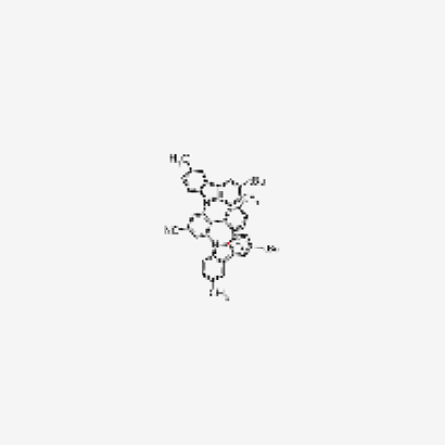 Cc1ccc2c(c1)c1cc(C(C)(C)C)ccc1n2-c1cc(C#N)cc(-n2c3ccc(C)cc3c3cc(C(C)(C)C)ccc32)c1-c1cc(C(F)(F)F)ccc1C(F)(F)F